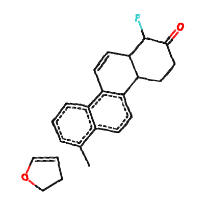 C1=COCC1.Cc1cccc2c3c(ccc12)C1CCC(=O)C(F)C1C=C3